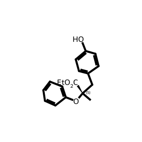 CCOC(=O)[C@](C)(Cc1ccc(O)cc1)Oc1ccccc1